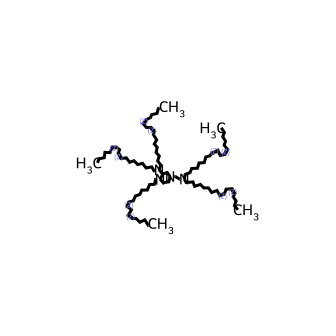 CCCC/C=C\C/C=C\CCCCCCCCN(CCCCCCCC/C=C\C/C=C\CCCCC)CCN1CCN(CCCCCCCC/C=C\C/C=C\CCCCC)C(N(CCCCCCCC/C=C\C/C=C\CCCCC)CCCCCCCC/C=C\C/C=C\CCCCC)C1